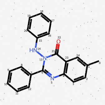 Cc1ccc2nc(-c3ccccc3)n(Nc3ccccc3)c(=O)c2c1